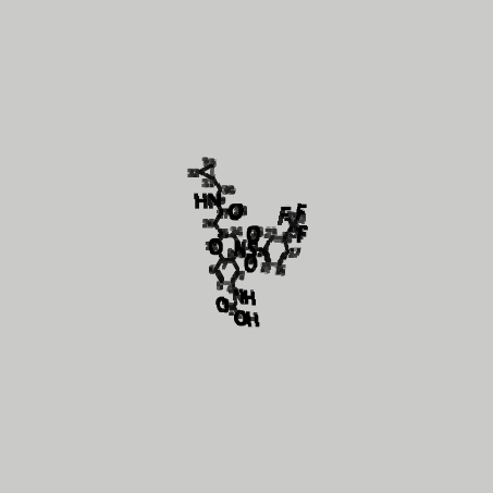 O=C(O)Nc1ccc2c(c1)N(S(=O)(=O)c1cccc(C(F)(F)F)c1)CC(CC(=O)NCC1CC1)O2